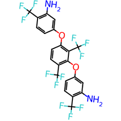 Nc1cc(Oc2ccc(C(F)(F)F)c(Oc3ccc(C(F)(F)F)c(N)c3)c2C(F)(F)F)ccc1C(F)(F)F